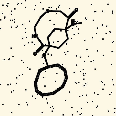 CNC12CCC(Oc3ccccccccc3)(CC1)C(=O)NCCSCC2=O